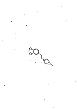 CC1C2CN(CCc3ccc4c(c3)OCO4)CC12